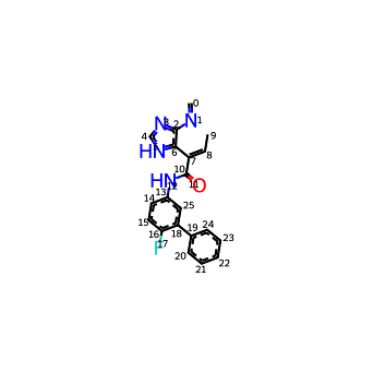 C=Nc1nc[nH]c1/C(=C\C)C(=O)Nc1ccc(F)c(-c2ccccc2)c1